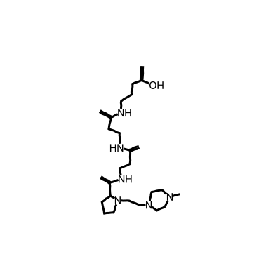 C=C(O)CCCNC(=C)CCNC(=C)CCNC(=C)C1CCCN1CCN1CCN(C)CC1